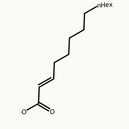 CCCCCCCCCCC/C=C/C([O])=O